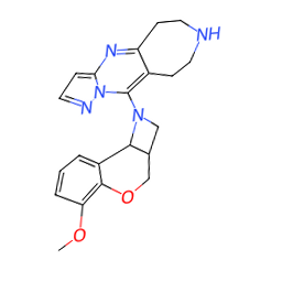 COc1cccc2c1OCC1CN(c3c4c(nc5ccnn35)CCNCC4)C21